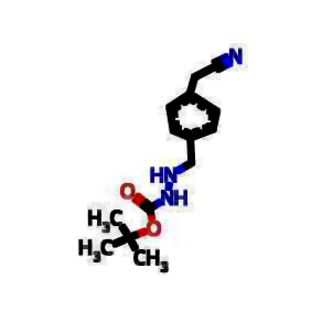 CC(C)(C)OC(=O)NNCc1ccc(CC#N)cc1